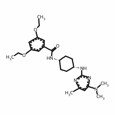 CCOc1cc(OCC)cc(C(=O)N[C@H]2CC[C@@H](Nc3nc(C)cc(N(C)C)n3)CC2)c1